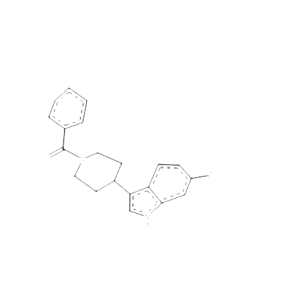 O=C(c1ccccc1)N1CCC(c2c[nH]c3cc(F)ccc23)CC1